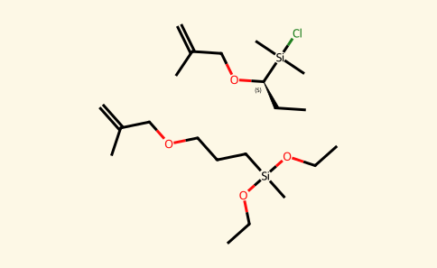 C=C(C)COCCC[Si](C)(OCC)OCC.C=C(C)CO[C@H](CC)[Si](C)(C)Cl